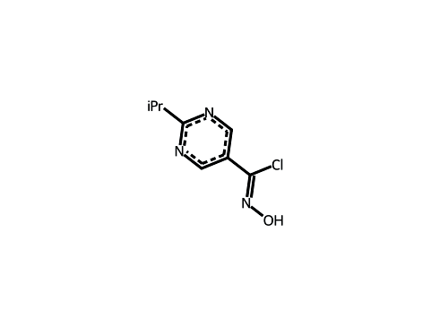 CC(C)c1ncc(C(Cl)=NO)cn1